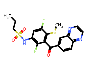 CCCS(=O)(=O)Nc1cc(F)c(SC)c(C(=O)c2ccc3nccnc3c2)c1F